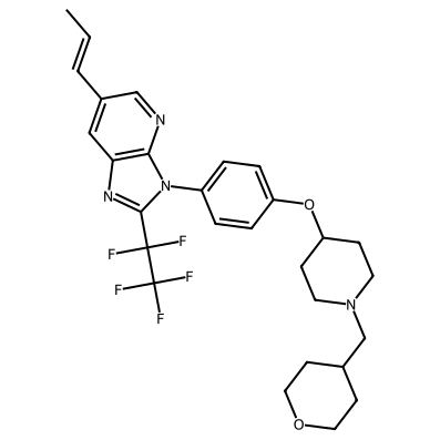 C/C=C/c1cnc2c(c1)nc(C(F)(F)C(F)(F)F)n2-c1ccc(OC2CCN(CC3CCOCC3)CC2)cc1